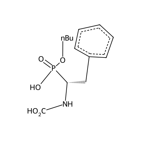 CCCCOP(=O)(O)[C@H](Cc1ccccc1)NC(=O)O